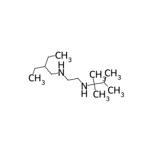 CCC(CC)CNCCNC(C)(C)C(C)C